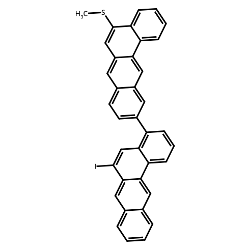 CSc1cc2cc3ccc(-c4cccc5c4cc(I)c4cc6ccccc6cc45)cc3cc2c2ccccc12